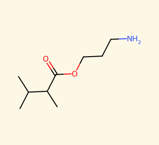 CC(C)C(C)C(=O)OCCCN